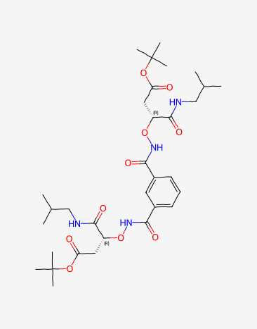 CC(C)CNC(=O)[C@@H](CC(=O)OC(C)(C)C)ONC(=O)c1cccc(C(=O)NO[C@H](CC(=O)OC(C)(C)C)C(=O)NCC(C)C)c1